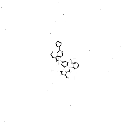 C=C/C=C\c1c(C)n(-c2cc3c4c(c2)N2C(C)=C(C)/C(=C/C)C2C(C)B4c2ccccc2N3C)c2ccc(-c3ccccc3)cc12